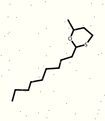 CCCCCCCCCC1OC(C)CCS1